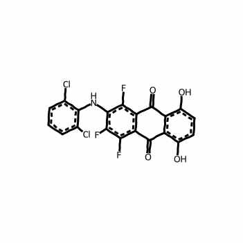 O=C1c2c(O)ccc(O)c2C(=O)c2c(F)c(Nc3c(Cl)cccc3Cl)c(F)c(F)c21